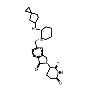 O=C1CCC(N2Cc3cc(C[C@H]4CCCC[C@@H]4NC4CCC5(CC5)C4)ccc3C2=O)C(=O)N1